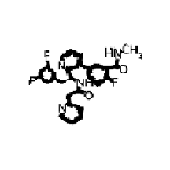 CNC(=O)c1cc(-c2cccnc2[C@H](Cc2cc(F)cc(F)c2)NC(=O)Cc2ccccn2)ccc1F